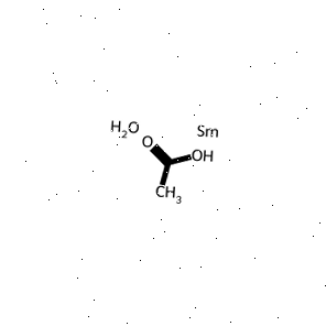 CC(=O)O.O.[Sm]